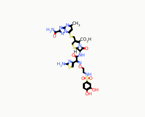 Cc1cc(SCC2=C(C(=O)O)N3C(=O)[C@@H](NC(=O)C(=NOCCNS(=O)(=O)c4ccc(O)c(O)c4)c4csc(N)n4)[C@H]3SC2)n2nc(C(N)=O)nc2n1